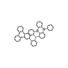 c1ccc(N2c3ccccc3B3c4ccccc4C(c4ccccc4-c4ccc5c6ccccc6c6ccccc6c5c4)c4cccc2c43)cc1